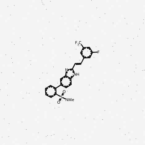 CNS(=O)(=O)c1ccccc1-c1ccc2[nH]c(/C=C/c3cc(F)cc(C(F)(F)F)c3)nc2c1